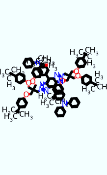 CN(c1ccccc1)c1ccc(-c2c3nn(CC(COc4ccc(C(C)(C)C)cc4)(COc4ccc(C(C)(C)C)cc4)COc4ccc(C(C)(C)C)cc4)nc3c(-c3ccc(N(c4ccccc4)c4ccccc4)cc3)c3n[n+](CC(COc4ccc(C(C)(C)C)cc4)(COc4ccc(C(C)(C)C)cc4)COc4ccc(C(C)(C)C)cc4)[n-]c23)cc1